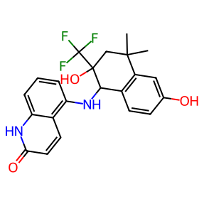 CC1(C)CC(O)(C(F)(F)F)C(Nc2cccc3[nH]c(=O)ccc23)c2ccc(O)cc21